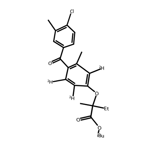 [2H]c1c([2H])c(C(=O)c2ccc(Cl)c(C)c2)c(C)c([2H])c1OC(C)(CC)C(=O)OC(C)CC